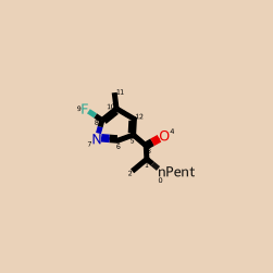 CCCCCC(C)C(=O)c1cnc(F)c(C)c1